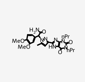 CCCn1c(=O)c2[nH]c(-c3cc(C)n(C(C(N)=O)c4ccc(OC)c(OC)c4)n3)nc2n(CCC)c1=O